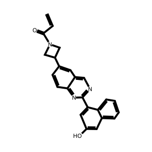 C=CC(=O)N1CC(c2ccc3nc(-c4cc(O)cc5ccccc45)ncc3c2)C1